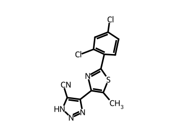 Cc1sc(-c2ccc(Cl)cc2Cl)nc1-c1nn[nH]c1C#N